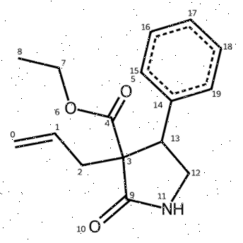 C=CCC1(C(=O)OCC)C(=O)NCC1c1ccccc1